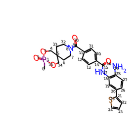 CP1(=O)OCC2(CCN(C(=O)c3ccc(C(=O)Nc4cc(-c5cccs5)ccc4N)cc3)CC2)CO1